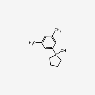 Cc1cc(C)cc([P]2(O)CCCC2)c1